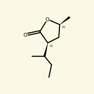 CCC(C)[C@@H]1C[C@H](C)OC1=O